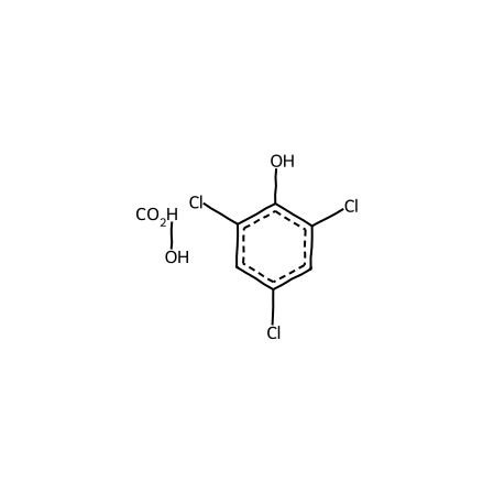 O=C(O)O.Oc1c(Cl)cc(Cl)cc1Cl